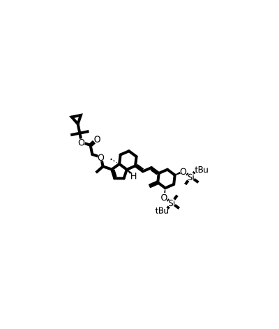 C=C1/C(=C\C=C2/CCC[C@]3(C)C(C(C)OCC(=O)OC(C)(C)C4CC4)=CC[C@@H]23)C[C@@H](O[Si](C)(C)C(C)(C)C)C[C@@H]1O[Si](C)(C)C(C)(C)C